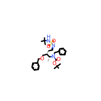 C[C@H]([C@@H](C/C=N\S(=O)(=O)NC(C)(C)C)COCc1ccccc1)N(Cc1ccccc1)C(=O)OC(C)(C)C